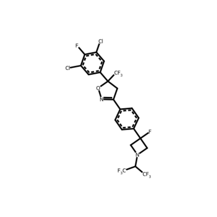 Fc1c(Cl)cc(C2(C(F)(F)F)CC(c3ccc(C4(F)CN(C(C(F)(F)F)C(F)(F)F)C4)cc3)=NO2)cc1Cl